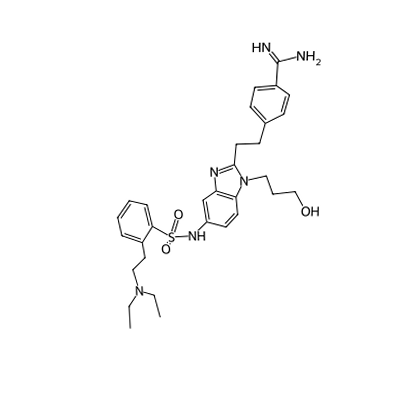 CCN(CC)CCc1ccccc1S(=O)(=O)Nc1ccc2c(c1)nc(CCc1ccc(C(=N)N)cc1)n2CCCO